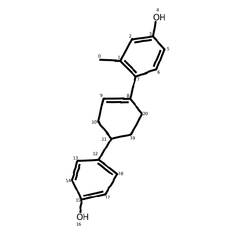 Cc1cc(O)ccc1C1=CCC(c2ccc(O)cc2)CC1